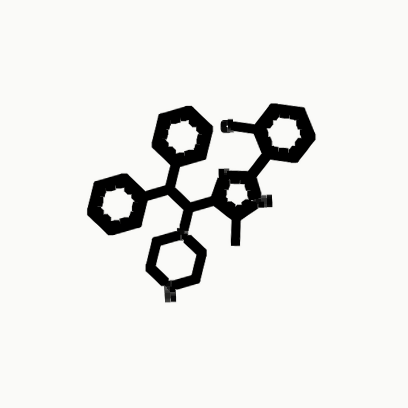 Cc1[nH]c(-c2ccccc2Cl)nc1C(C(c1ccccc1)c1ccccc1)N1CCNCC1